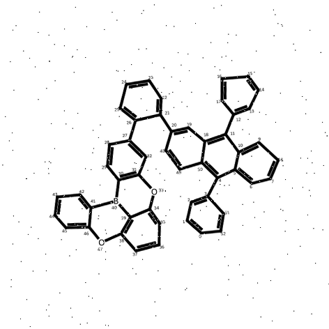 c1ccc(-c2c3ccccc3c(-c3ccccc3)c3cc(-c4ccccc4-c4ccc5c(c4)Oc4cccc6c4B5c4ccccc4O6)ccc23)cc1